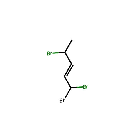 CCC(Br)/C=C/C(C)Br